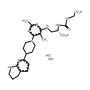 Cc1nc(NC[C@H](NC(=O)OCC(=O)O)C(=O)O)c(C)c(N2CCC(c3ccc4c(n3)NCCC4)CC2)n1.Cl.Cl